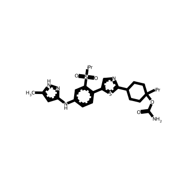 Cc1cc(Nc2ccc(-c3cnc(C4CCC(OC(N)=O)(C(C)C)CC4)s3)c(S(=O)(=O)C(C)C)c2)n[nH]1